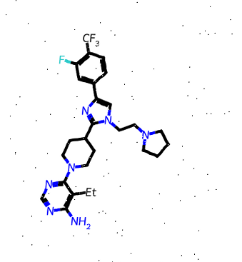 CCc1c(N)ncnc1N1CCC(c2nc(-c3ccc(C(F)(F)F)c(F)c3)cn2CCN2CCCC2)CC1